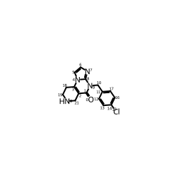 O=c1c2c(n3ccnc3n1Cc1ccc(Cl)cc1)CCNC2